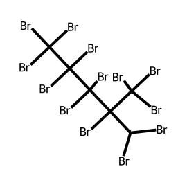 Br[C](Br)C(Br)(C(Br)(Br)Br)C(Br)(Br)C(Br)(Br)C(Br)(Br)Br